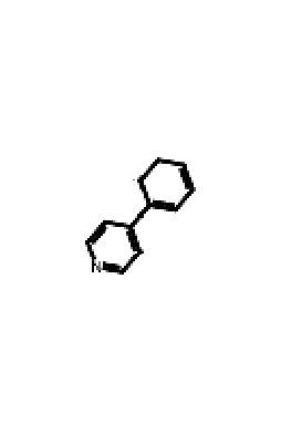 [CH]1CC=CC=C1c1ccncc1